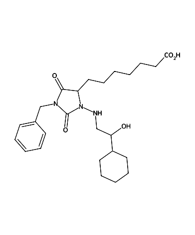 O=C(O)CCCCCCC1C(=O)N(Cc2ccccc2)C(=O)N1NCC(O)C1CCCCC1